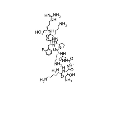 C[C@H](NC(=O)[C@@H](NC(=O)C(N)CCCCN)[C@@H](O)CN)C(=O)NCC(=O)N[C@H](CCCN)C(=O)N1CCC[C@H]1C(=O)N[C@@H](Cc1ccccc1F)C(=O)N[C@@H](CCCCN)C(=O)N/C(=C\CCNC(=N)N)C(=O)O